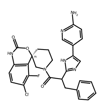 Nc1ccc(-c2cnc(C(Cc3ccccc3)C(=O)N3CCC[C@@]4(C3)OC(=O)Nc3ccc(Cl)c(F)c34)[nH]2)cn1